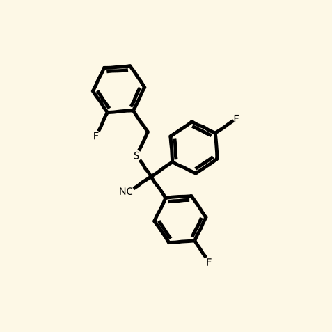 N#CC(SCc1ccccc1F)(c1ccc(F)cc1)c1ccc(F)cc1